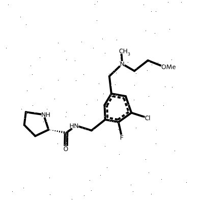 COCCN(C)Cc1cc(Cl)c(F)c(CNC(=O)[C@@H]2CCCN2)c1